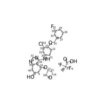 O=C(O)C(F)(F)F.Oc1cc(OC2CCOC2)c2c(Nc3ccc(OCc4cccc(F)c4)c(Cl)c3)ncnc2c1